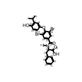 CC(C)c1cc(Oc2c(Br)cc(C(=O)N(I)C(Cc3ccccc3)C(=O)O)cc2Br)ccc1O